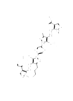 CCCCc1nn(-c2cnc(-n3nc(C)c(/N=N/c4c(C(=O)OC)cnn4C)c3N)cn2)c(N)c1/N=N/c1c(C(=O)C=O)cnn1C